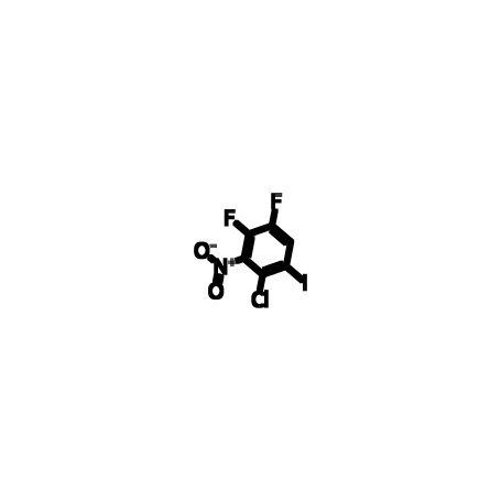 O=[N+]([O-])c1c(F)c(F)cc(I)c1Cl